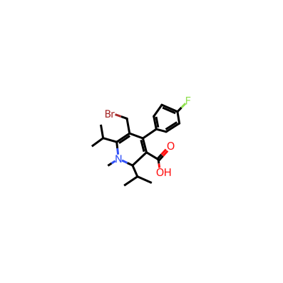 CC(C)C1=C(CBr)C(c2ccc(F)cc2)=C(C(=O)O)C(C(C)C)N1C